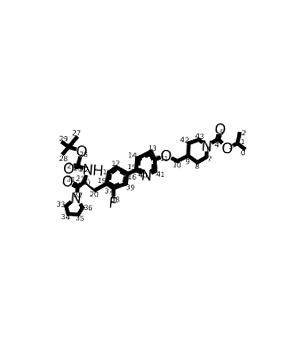 CC(C)OC(=O)N1CCC(COc2ccc(-c3ccc(C[C@H](NC(=O)OC(C)(C)C)C(=O)N4CCCC4)c(F)c3)nc2)CC1